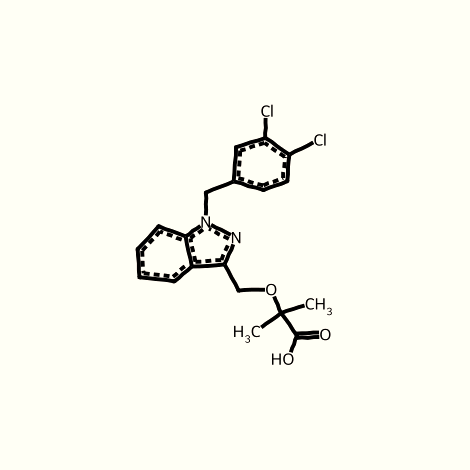 CC(C)(OCc1nn(Cc2ccc(Cl)c(Cl)c2)c2ccccc12)C(=O)O